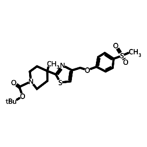 CC(C)(C)OC(=O)N1CCC(C)(c2nc(COc3ccc(S(C)(=O)=O)cc3)cs2)CC1